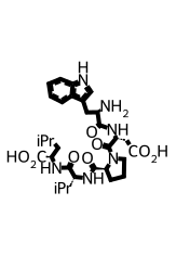 CC(C)C[C@H](NC(=O)[C@H](NC(=O)[C@@H]1CCCN1C(=O)[C@@H](CC(=O)O)NC(=O)[C@H](N)Cc1c[nH]c2ccccc12)C(C)C)C(=O)O